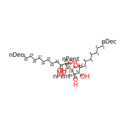 CCCCCCCCCCCCCCCCCCC(O)[C@](O)(CCCCC)[C@@H](O)[C@H](O)[C@@](O)(CCCCC)C(O)CCCCCCCCCCCCCCCCCC